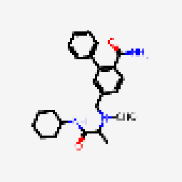 CC(C(=O)NC1CCCCC1)N(C=O)Cc1ccc(C(N)=O)c(-c2ccccc2)c1